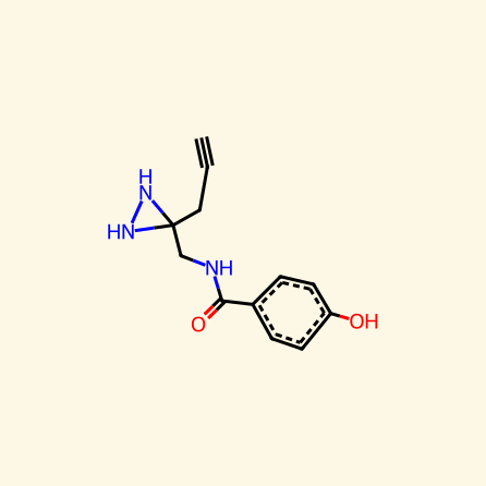 C#CCC1(CNC(=O)c2ccc(O)cc2)NN1